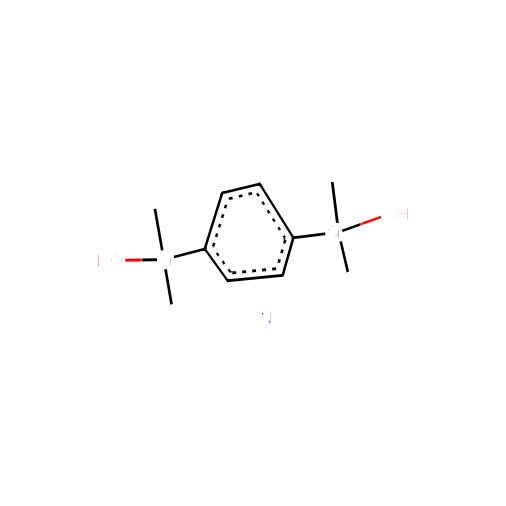 C[Si](C)(O)c1ccc([Si](C)(C)O)cc1.[N]